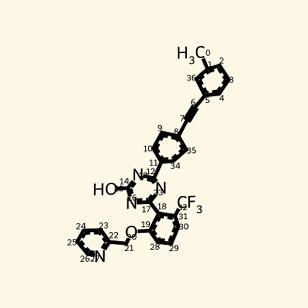 Cc1cccc(C#Cc2ccc(-c3nc(O)nc(-c4c(OCc5ccccn5)cccc4C(F)(F)F)n3)cc2)c1